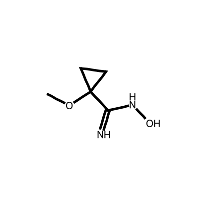 COC1(C(=N)NO)CC1